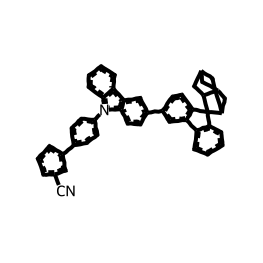 N#Cc1cccc(-c2ccc(-n3c4ccccc4c4cc(-c5ccc6c(c5)-c5ccccc5C65C6CC7CC(C6)C5C7)ccc43)cc2)c1